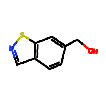 OCc1ccc2cnsc2c1